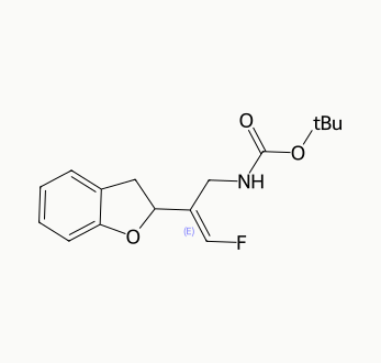 CC(C)(C)OC(=O)NC/C(=C\F)C1Cc2ccccc2O1